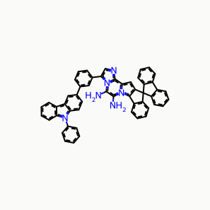 Nc1c(N)n2c(-c3cccc(-c4ccc5c(c4)c4ccccc4n5-c4ccccc4)c3)cnc2c2cc3c(n12)-c1ccccc1C31c2ccccc2-c2ccccc21